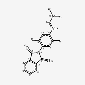 Cc1cc(N2C(=O)c3ccccc3C2=O)c(C)cc1N=CN(C)C